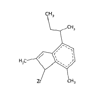 CCC(C)c1ccc(C)c2c1C=C(C)[CH]2[Zr]